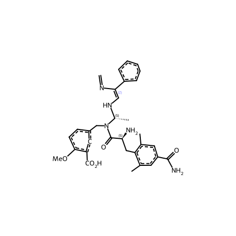 C=N/C(=C\N[C@H](C)N(Cc1ccc(OC)c(C(=O)O)c1)C(=O)[C@@H](N)Cc1c(C)cc(C(N)=O)cc1C)c1ccccc1